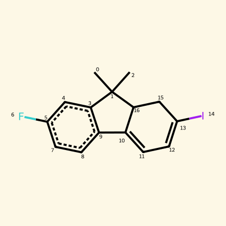 CC1(C)c2cc(F)ccc2C2=CC=C(I)CC21